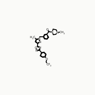 Cc1cc(-c2nc(-c3ccc(OCC(F)(F)F)cc3)no2)nn1Cc1cccc(C(=O)N2CCN(C)CC2)c1